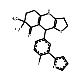 CC1(C)CCC2=C(C1=O)C(c1ccc(F)c(-c3ccco3)c1)C1=C(CCS1)N2